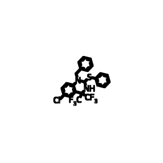 FC(F)(F)C1(C(F)(F)F)NC(Sc2ccccc2)N(Cc2ccccc2)c2ccc(Cl)cc21